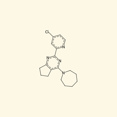 Clc1ccnc(-c2nc3c(c(N4CCCCCC4)n2)CCC3)c1